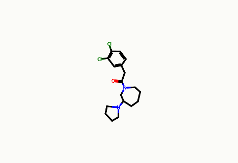 O=C(Cc1ccc(Cl)c(Cl)c1)N1CCCCC(N2CCCC2)C1